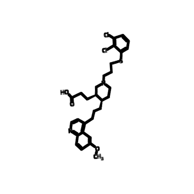 COc1ccc2nccc(CCC[C@@H]3CCN(CCCSc4cccc(Cl)c4Cl)C[C@@H]3CCC(=O)O)c2c1